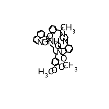 COc1ccc(C(CCCNS(=O)(=O)c2cccc3cccnc23)N2C(=O)c3cccc(N4CCN([C@H](C)c5ccccc5)CC4)c3C2=O)cc1OC